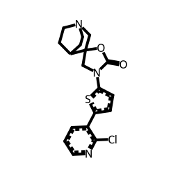 O=C1OC2(CN3CCC2CC3)CN1c1ccc(-c2cccnc2Cl)s1